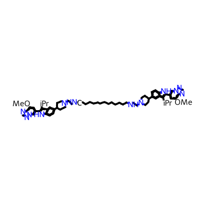 COc1cc(-c2[nH]c3ccc(C4CCN(CCNCCCCCCCCCCCCCCNCCN5CCC(c6ccc7[nH]c(-c8cc(OC)c9ncnn9c8)c(C(C)C)c7c6)CC5)CC4)cc3c2C(C)C)cn2ncnc12